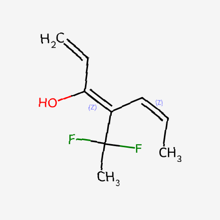 C=C/C(O)=C(\C=C/C)C(C)(F)F